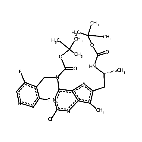 Cc1c(C[C@@H](C)NC(=O)OC(C)(C)C)sc2c(N(Cc3c(F)cncc3F)C(=O)OC(C)(C)C)nc(Cl)nc12